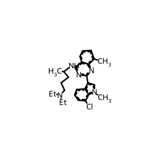 CCN(CC)CCCC(C)Nc1nc(-c2cn(C)c3c(Cl)cccc23)nc2c(C)cccc12